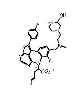 C/C=C/C[C@@H](Oc1ncnc2sc(-c3ccc(F)cc3)c(-c3ccc(CN(C)CCN4CCNC(O)C4)c(Cl)c3C)c12)C(=O)O